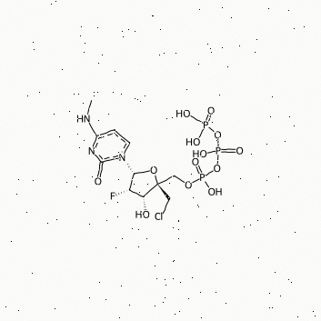 CNc1ccn([C@@H]2O[C@](CCl)(COP(=O)(O)OP(=O)(O)OP(=O)(O)O)[C@H](O)[C@@H]2F)c(=O)n1